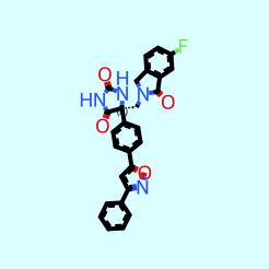 O=C1NC(=O)[C@](CN2Cc3ccc(F)cc3C2=O)(c2ccc(-c3cc(-c4ccccc4)no3)cc2)N1